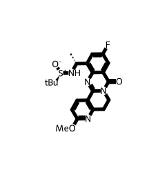 COc1ccc2c(n1)CCn1c-2nc2c([C@@H](C)N[S@+]([O-])C(C)(C)C)cc(F)cc2c1=O